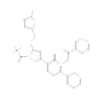 CC(C)(C)C(=O)n1nc(-c2ccc(-c3cccnc3)n(CC(=O)c3ccnnc3)c2=O)cc1SCc1ccc(Cl)s1